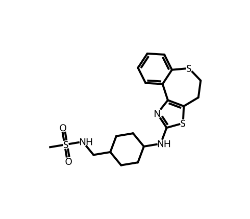 CS(=O)(=O)NCC1CCC(Nc2nc3c(s2)CCSc2ccccc2-3)CC1